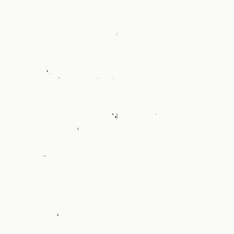 N#Cc1c(-c2ccccc2)cc(-c2cccs2)nc1SC[S+]([O-])C1CCCCC1